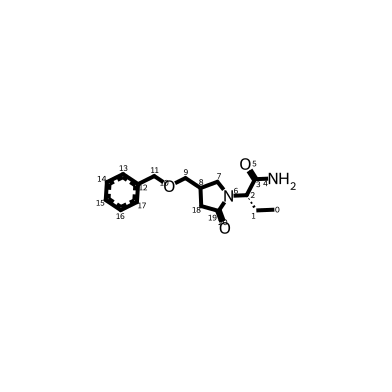 CC[C@@H](C(N)=O)N1CC(COCc2ccccc2)CC1=O